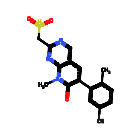 Cc1ccc(C#N)cc1-c1cc2cnc(C[SH](=O)=O)nc2n(C)c1=O